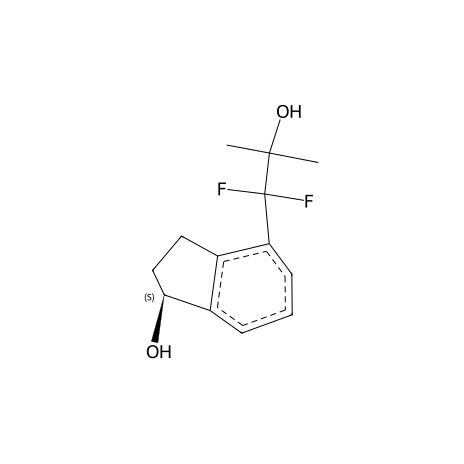 CC(C)(O)C(F)(F)c1cccc2c1CC[C@@H]2O